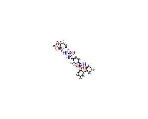 O=C(NCc1ccc2c(c1)OCO2)Nc1ccc(NS(=O)(=O)c2ccccc2-c2ccccc2)cc1